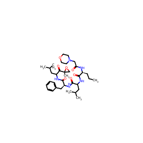 CCC[C@H](NC(=O)CN1CCOCC1)C(=O)NC(CC(C)C)C(=O)N[C@@H](Cc1ccccc1)C(=O)NC(CC(C)C)C(=O)[C@@]1(C)CO1